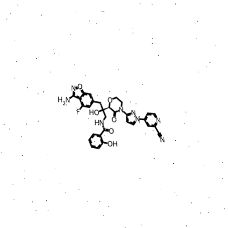 N#Cc1cc(-n2ccc(N3CCO[C@H](C(O)(CNC(=O)c4ccccc4O)Cc4cc(F)c5c(N)noc5c4)C3=O)n2)ccn1